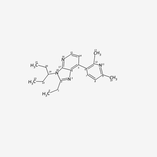 CCc1nc2c(-c3ccc(C)nc3C)ccnc2n1C(CC)CC